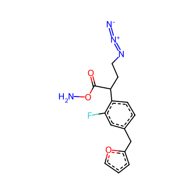 [N-]=[N+]=NCCC(C(=O)ON)c1ccc(Cc2ccco2)cc1F